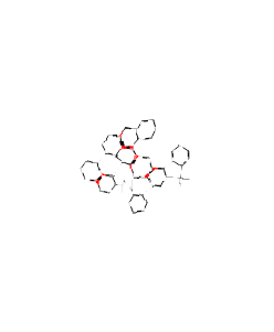 CC1(C)c2ccccc2-c2ccc(-c3ccccc3N(c3cccc(-c4cccc5ccccc45)c3)c3ccccc3-c3cccc4cccc(-c5ccccc5)c34)cc21